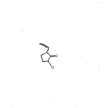 C=CN1CCC(Cl)C1=O